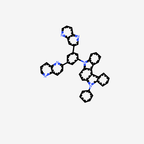 c1ccc(-n2c3ccccc3c3c4c5ccccc5n(-c5cc(-c6cnc7cccnc7c6)cc(-c6ccc7ncccc7n6)c5)c4ccc32)cc1